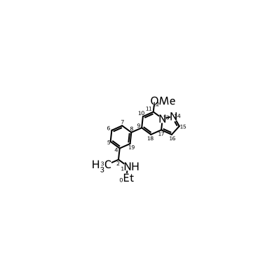 CCNC(C)c1cccc(-c2cc(OC)n3nccc3c2)c1